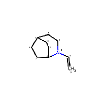 C=CN1CCC2CCC1CC2